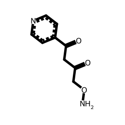 NOCC(=O)CC(=O)c1ccncc1